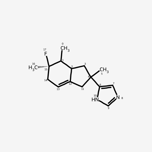 CC1C2CC(C)(c3cnc[nH]3)CC2=CC[C@@]1(C)F